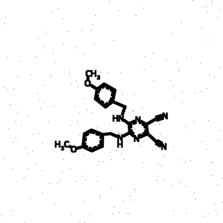 COc1ccc(CNc2nc(C#N)c(C#N)nc2NCc2ccc(OC)cc2)cc1